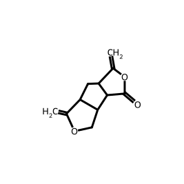 C=C1OCC2C1CC1C(=C)OC(=O)C12